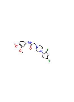 COc1ccc(NC(=O)CN2CCN(c3ccc(F)cc3F)CC2)cc1OC